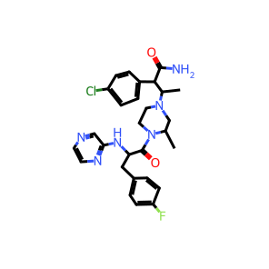 CC(C(C(N)=O)c1ccc(Cl)cc1)N1CCN(C(=O)C(Cc2ccc(F)cc2)Nc2cnccn2)C(C)C1